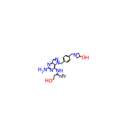 CCC[C@@H](CCO)Nc1nc(N)nc2cnn(Cc3ccc(CN4CC(O)C4)cc3)c12